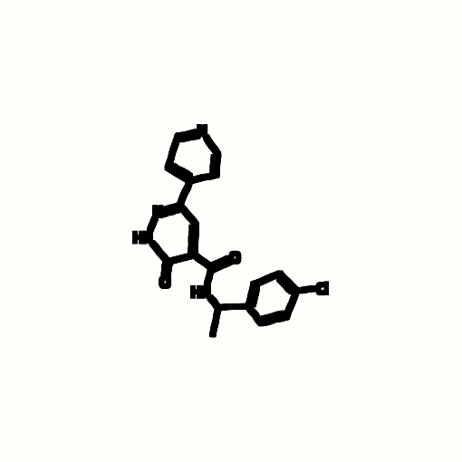 CC(NC(=O)c1cc(-c2ccncc2)n[nH]c1=O)c1ccc(Cl)cc1